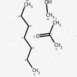 CC(C)=O.CCCCCCC.CO